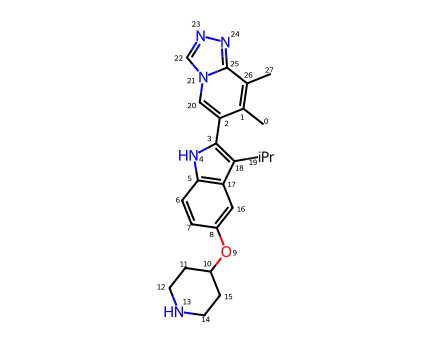 Cc1c(-c2[nH]c3ccc(OC4CCNCC4)cc3c2C(C)C)cn2cnnc2c1C